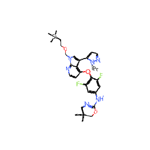 CC(C)n1nccc1-c1cn(COCC[Si](C)(C)C)c2nccc(Oc3c(F)cc(NC4=NCC(C)(C)CO4)cc3F)c12